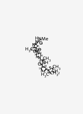 C=C(C)SC(=C(C)C)c1cccc(C(=O)N[C@@H](C)CN2CCN(S(=O)(=O)C3=C(C)N=C(NC(=O)NC)C3)CC2)c1